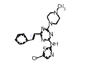 CN1CCN(c2nc(/C=C/c3ccccc3)nc(Nc3ncc(Cl)s3)n2)CC1